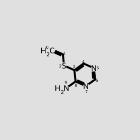 C=CSc1cncnc1N